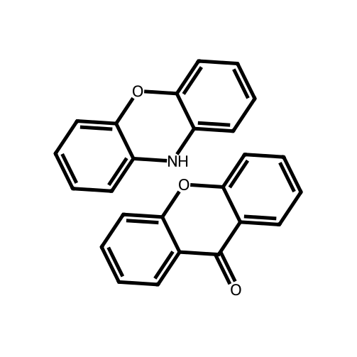 O=c1c2ccccc2oc2ccccc12.c1ccc2c(c1)Nc1ccccc1O2